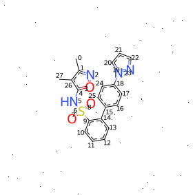 Cc1noc(NS(=O)(=O)c2ccccc2-c2ccc(-n3cccn3)cc2)c1C